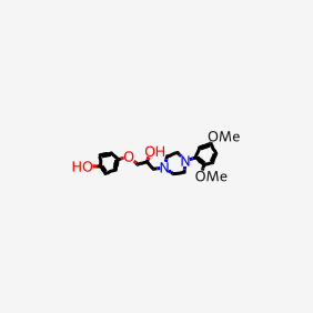 COc1ccc(OC)c(N2CCN(CC(O)COc3ccc(O)cc3)CC2)c1